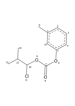 Cc1cccc(OC(=O)OC(Cl)C(C)C)c1